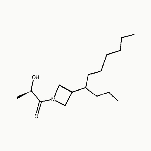 CCCCCCC(CCC)C1CN(C(=O)[C@@H](C)O)C1